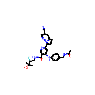 CC(=O)NCc1ccc(Nc2cc(-c3ccc4cc(C#N)cnn34)ncc2C(=O)NCC(F)C(C)(C)O)cc1